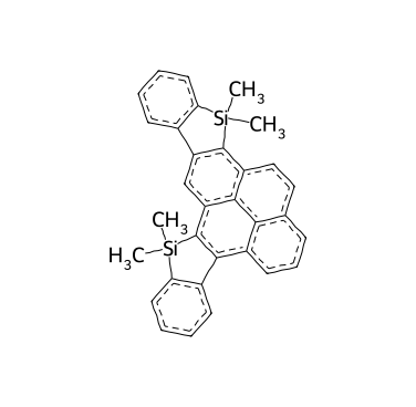 C[Si]1(C)c2ccccc2-c2cc3c4c(c5cccc6ccc(c21)c3c65)-c1ccccc1[Si]4(C)C